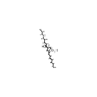 CCCCCCCCCCCCCCCCCCCC.O=C(O)CC(=O)O